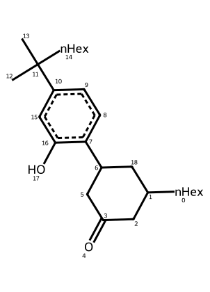 CCCCCCC1CC(=O)CC(c2ccc(C(C)(C)CCCCCC)cc2O)C1